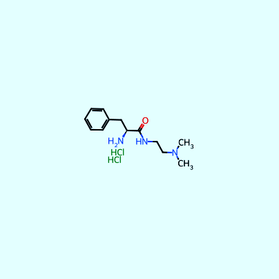 CN(C)CCNC(=O)[C@@H](N)Cc1ccccc1.Cl.Cl